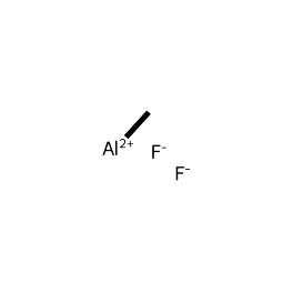 [CH3][Al+2].[F-].[F-]